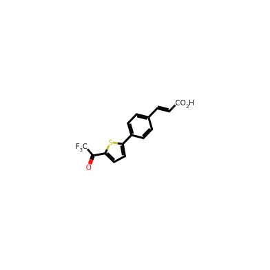 O=C(O)/C=C/c1ccc(-c2ccc(C(=O)C(F)(F)F)s2)cc1